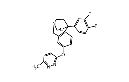 Cc1ccc(Oc2ccc3c(c2)CN2CCC3(c3ccc(F)c(F)c3)CC2)nn1